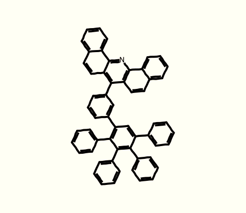 c1ccc(-c2cc(-c3cccc(-c4c5ccc6ccccc6c5nc5c4ccc4ccccc45)c3)c(-c3ccccc3)c(-c3ccccc3)c2-c2ccccc2)cc1